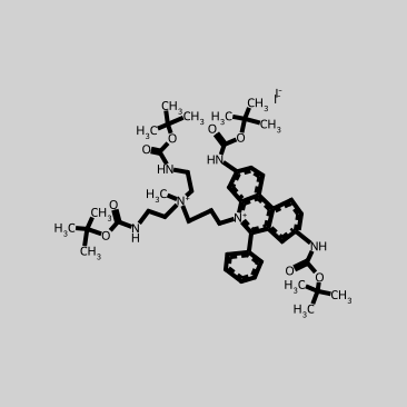 CC(C)(C)OC(=O)NCC[N+](C)(CCC[n+]1c(-c2ccccc2)c2cc(NC(=O)OC(C)(C)C)ccc2c2ccc(NC(=O)OC(C)(C)C)cc21)CCNC(=O)OC(C)(C)C.[I-].[I-]